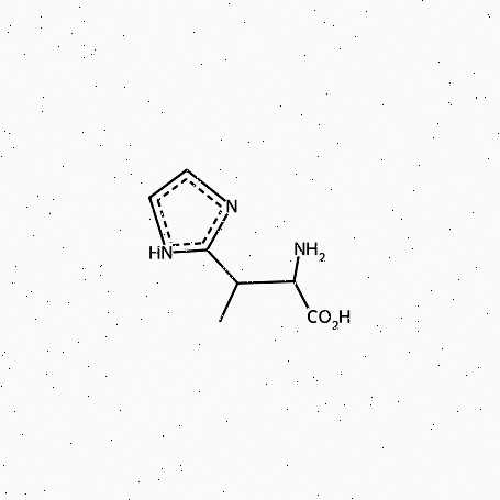 CC(c1ncc[nH]1)C(N)C(=O)O